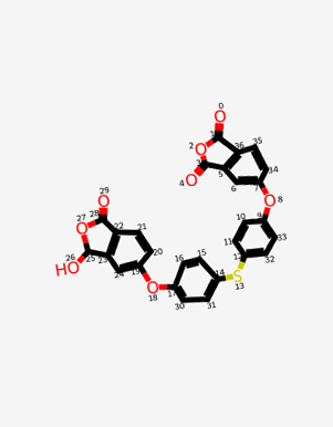 O=C1OC(=O)c2cc(Oc3ccc(Sc4ccc(Oc5ccc6c(c5)C(O)OC6=O)cc4)cc3)ccc21